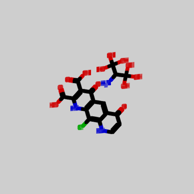 NC(C(O)(O)O)C(O)(O)O.O=C(O)c1[nH]c2c(Cl)c3[nH]ccc(=O)c3cc2c(=O)c1C(=O)O